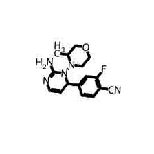 CC1COCCN1N1C(N)=NC=CC1c1ccc(C#N)c(F)c1